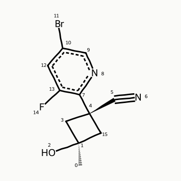 C[C@]1(O)C[C@](C#N)(c2ncc(Br)cc2F)C1